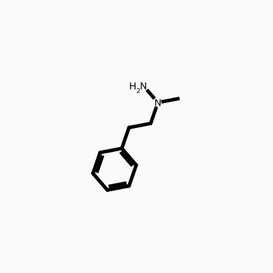 CN(N)CCc1ccccc1